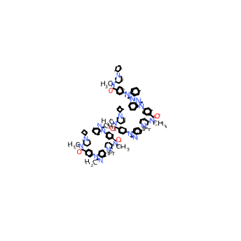 CC(C)N1CCCC(N(C)C(=O)c2ccc(-n3cnc4ccccc43)cc2)C1.CN(C(=O)c1ccc(-n2cnc3ccccc32)cc1)C1CCCN(C2CCC2)C1.CN(C(=O)c1ccc(-n2cnc3ccccc32)cc1)C1CCCN(C2CCCC2)C1.Cc1nc2ccccc2n1-c1ccc(C(=O)N(C)C2CCCN(C(C)C)C2)cc1.Cc1nc2ccccc2n1-c1ccc(C(=O)N(C)C2CCCN(C3CCC3)C2)cc1